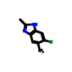 Cc1nc2cc(C(F)(F)F)c(Cl)cc2[nH]1